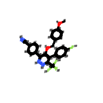 COc1ccc(COc2c(-c3ccc(C#N)cc3)nnc(C(F)(F)F)c2-c2ccc(F)cc2)cc1